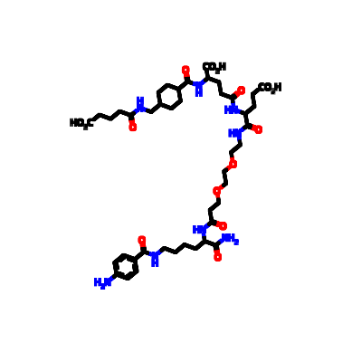 NC(=O)C(CCCCNC(=O)c1ccc(N)cc1)NC(=O)CCOCCOCCNC(=O)C(CCC(=O)O)NC(=O)CCC(NC(=O)C1CCC(CNC(=O)CCCC(=O)O)CC1)C(=O)O